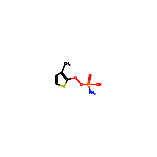 Cc1ccsc1OOP(N)(=O)O